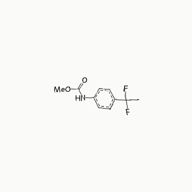 COC(=O)Nc1ccc(C(C)(F)F)cc1